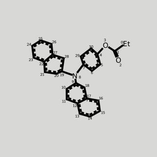 CCC(=O)Oc1ccc(N(c2ccc3ccccc3c2)c2ccc3ccccc3c2)cc1